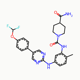 Cc1ccc(Nc2ncc(-c3ccc(OC(F)F)cc3)cn2)cc1NC(=O)N1CCC(C(N)=O)CC1